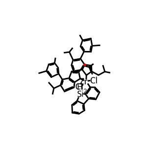 Cc1cc(C)cc(-c2c(C(C)C)ccc3c2C=C(CC(C)C)[CH]3[Zr]([Cl])([Cl])([c]2cccc3c2[SiH2]c2ccccc2-3)[CH]2C(CC(C)C)=Cc3c2ccc(C(C)C)c3-c2cc(C)cc(C)c2)c1